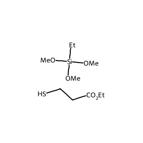 CCOC(=O)CCS.CC[Si](OC)(OC)OC